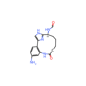 Nc1ccc2c(c1)NC(=O)CCCC[C@H](NC=O)c1nc-2c[nH]1